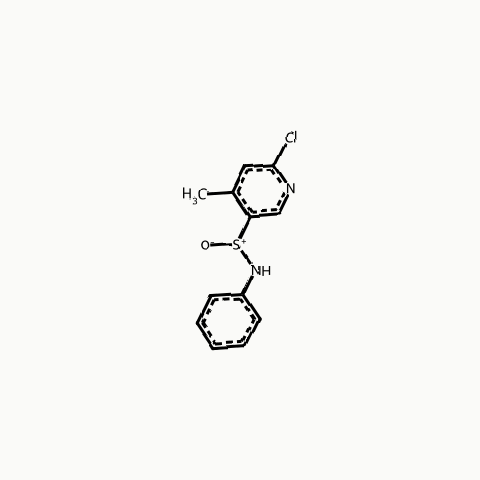 Cc1cc(Cl)ncc1[S+]([O-])Nc1ccccc1